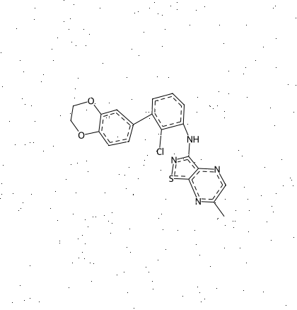 Cc1cnc2c(Nc3cccc(-c4ccc5c(c4)OCCO5)c3Cl)nsc2n1